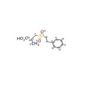 C[C@@H](CS(=O)(=O)CCc1ccccc1)C(=O)O